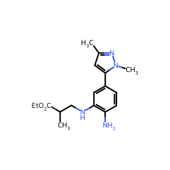 CCOC(=O)C(C)CNc1cc(-c2cc(C)nn2C)ccc1N